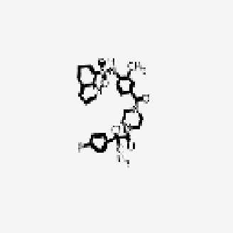 Cc1cc(C(=O)N2CCN(C(=O)C(C)(C)c3ccc(F)cc3)CC2)ccc1NS(=O)(=O)c1cccc2cccnc12